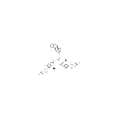 COc1c(N2CCN(Cc3oc(=O)oc3C)C(C)C2)c(F)cc2c(=O)c(C(=O)OCC(COC(=O)c3cn(C4CC4)c4c(OC)c(N5CCN(Cc6oc(=O)oc6C)C(C)C5)c(F)cc4c3=O)C(=O)OCC(=O)[C@@]3(O)CC[C@H]4[C@@H]5CCC6=CC(=O)C=C[C@]6(C)C5[C@@H](O)C[C@@]43C)cn(C3CC3)c12